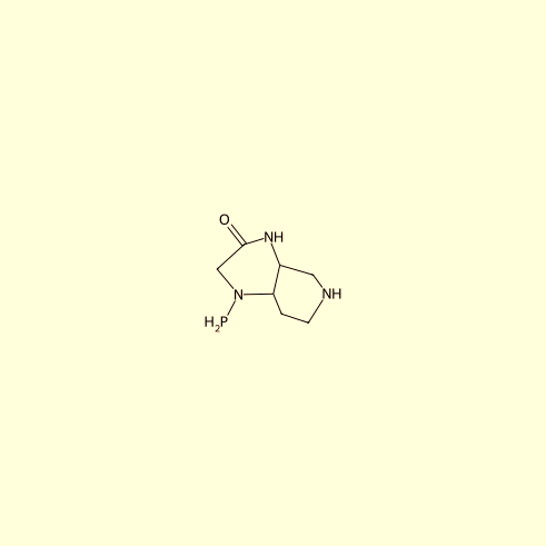 O=C1CN(P)C2CCNCC2N1